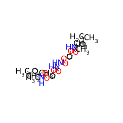 C=C(C)c1cccc(C(C)(C)NC(=O)Oc2cccc(OC(=O)NCNC(=O)Oc3cccc(OC(=O)NC(C)(C)c4cccc(C(=C)C)c4)c3)c2)c1